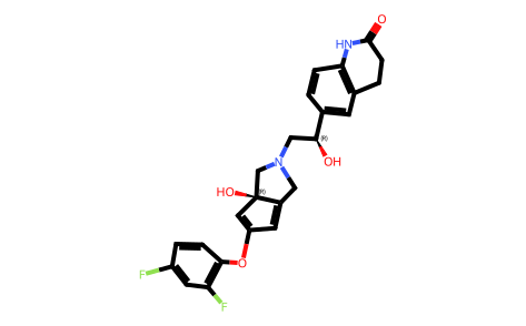 O=C1CCc2cc([C@@H](O)CN3CC4=CC(Oc5ccc(F)cc5F)=C[C@]4(O)C3)ccc2N1